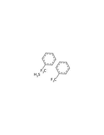 FC(F)(F)c1ccccc1.FC(F)(F)c1ccccc1.S